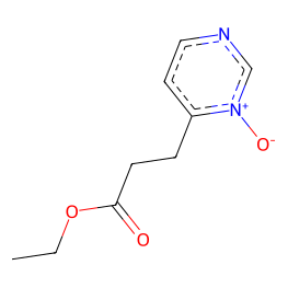 CCOC(=O)CCc1ccnc[n+]1[O-]